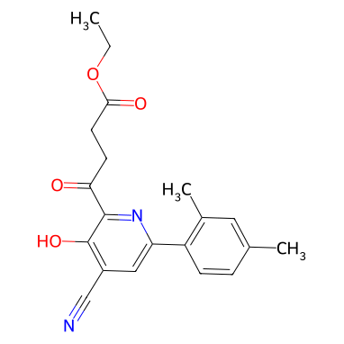 CCOC(=O)CCC(=O)c1nc(-c2ccc(C)cc2C)cc(C#N)c1O